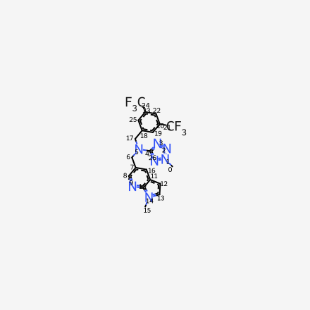 Cn1nnc(N(Cc2[c]nc3c(ccn3C)c2)Cc2cc(C(F)(F)F)cc(C(F)(F)F)c2)n1